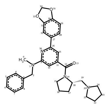 CN(Cc1ccccc1)c1cc(C(=O)N2CCC[C@H]2CN2CCCC2)cc(-c2ccc3c(c2)OCO3)n1